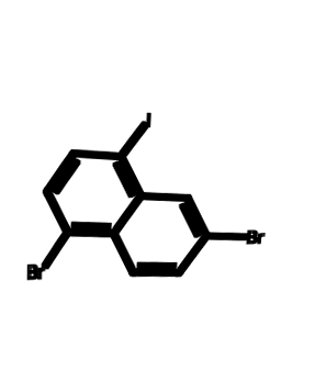 Brc1ccc2c(Br)ccc(I)c2c1